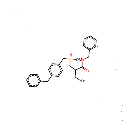 COP(=O)(Cc1ccc(Cc2ccccc2)cc1)CC(CC(C)C)C(=O)OCc1ccccc1